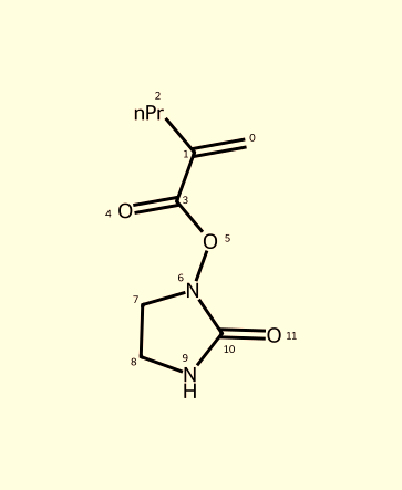 C=C(CCC)C(=O)ON1CCNC1=O